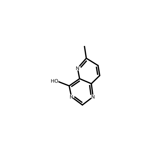 Cc1ccc2ncnc(O)c2n1